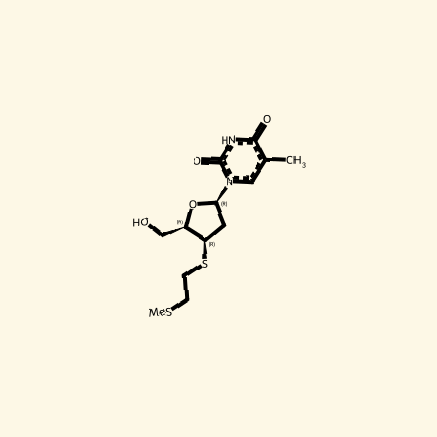 CSCCS[C@@H]1C[C@H](n2cc(C)c(=O)[nH]c2=O)O[C@@H]1CO